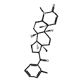 Cc1ccccc1C(=O)C1CC[C@H]2[C@@H]3CCC4N(C)C(=O)C=C[C@]4(C)[C@@H]3CC[C@]12C